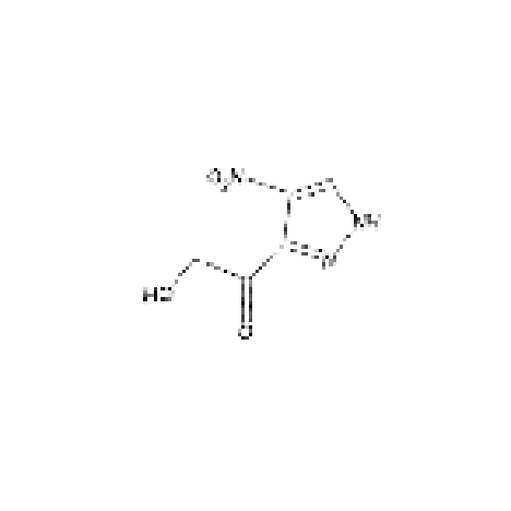 O=C(CO)c1n[nH]cc1[N+](=O)[O-]